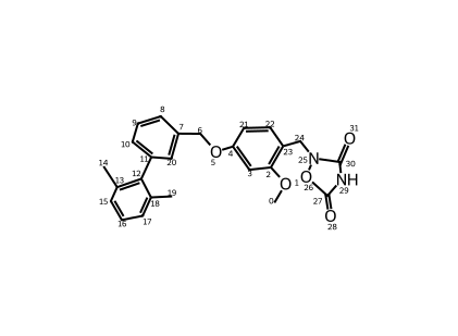 COc1cc(OCc2cccc(-c3c(C)cccc3C)c2)ccc1Cn1oc(=O)[nH]c1=O